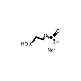 O=C(O)CCO[PH](=O)[O-].[Na+]